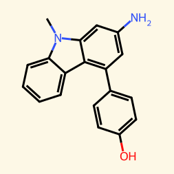 Cn1c2ccccc2c2c(-c3ccc(O)cc3)cc(N)cc21